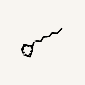 [CH2]CCCCCSc1ccncc1